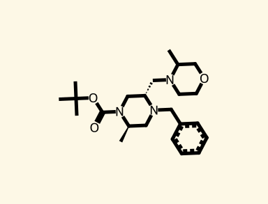 CC1COCCN1C[C@H]1CN(C(=O)OC(C)(C)C)[C@H](C)CN1Cc1ccccc1